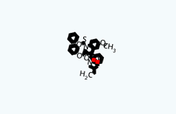 C=CC1CN2CCC1C[C@H]2[C@@H]1OC(Oc2ccccc2)=C2C[C@]1(C1C=CC=CC1)c1cc(OC)ccc1N2C(=S)Oc1ccccc1